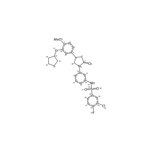 COc1ccc(C2CC(=O)N(c3cccc(NS(=O)(=O)c4ccc(F)c(Cl)c4)c3)C2)cc1OC1CCCC1